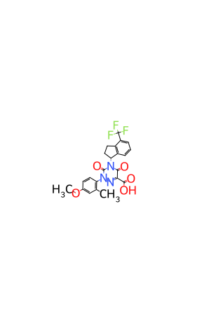 COc1ccc(-n2nc(C(=O)O)c(=O)n([C@@H]3CCc4c3cccc4C(F)(F)F)c2=O)c(C)c1